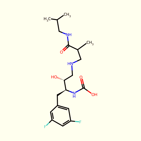 CC(C)CNC(=O)C(C)CNC[C@@H](O)[C@H](Cc1cc(F)cc(F)c1)NC(=O)O